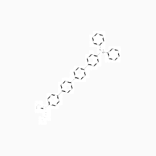 O=P(=S=S)c1ccc(-c2ccc(-c3ccc(-c4ccc(N(c5ccccc5)c5ccccc5)cc4)cc3)cc2)cc1